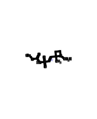 CC(C)(C)OC(=O)NS(=O)(=O)/C=C/C1(C)CCN1C(=O)O